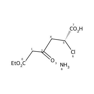 CCOC(=O)CC(=O)C[C@@H](Cl)C(=O)O.N